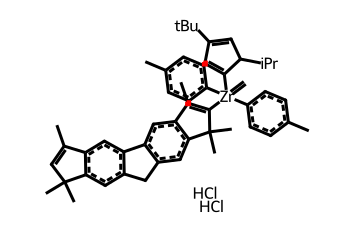 Cl.Cl.[CH2]=[Zr]([C]1=CC(C(C)(C)C)=CC1C(C)C)([C]1=C(C)c2cc3c(cc2C1(C)C)Cc1cc2c(cc1-3)C(C)=CC2(C)C)([c]1ccc(C)cc1)[c]1ccc(C)cc1